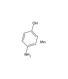 Nc1ccc(O)cc1.[Mn]